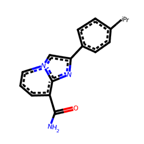 CC(C)c1ccc(-c2cn3cccc(C(N)=O)c3n2)cc1